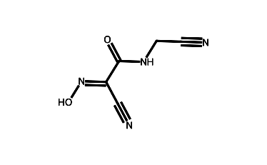 N#CCNC(=O)/C(C#N)=N/O